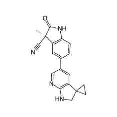 C[C@]1(C#N)C(=O)Nc2ccc(-c3cnc4c(c3)C3(CC3)CN4)cc21